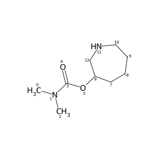 CN(C)C(=O)OC1C[CH]CCNC1